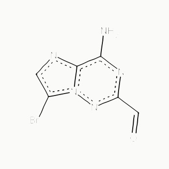 Nc1nc(C=O)nn2c(Br)cnc12